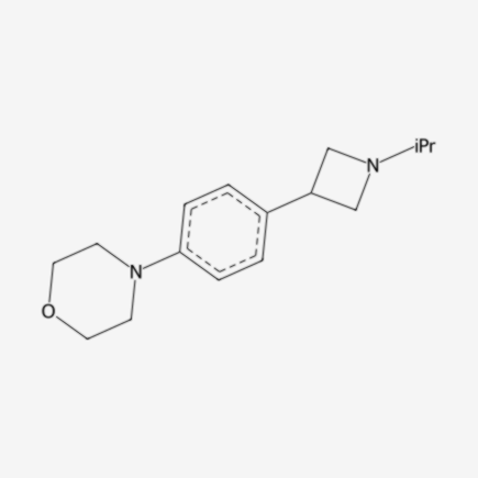 CC(C)N1CC(c2ccc(N3CCOCC3)cc2)C1